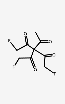 CC(=O)C(C(=O)CF)(C(=O)CF)C(=O)CF